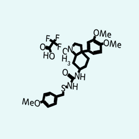 COc1ccc(CSNC(=O)NC2CCC3(c4ccc(OC)c(OC)c4)CCN(C)C3C2)cc1.O=C(O)C(F)(F)F